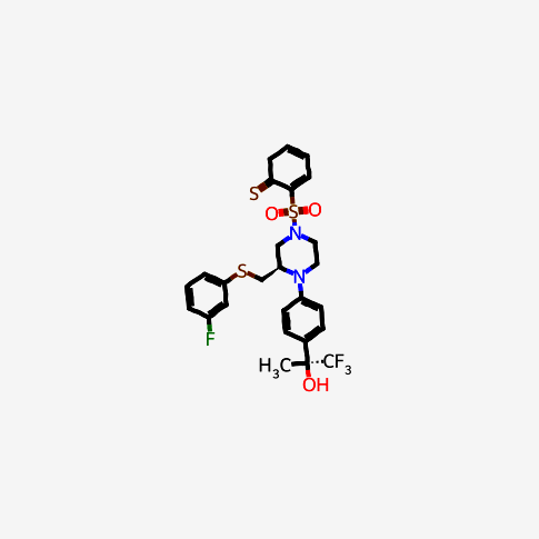 C[C@](O)(c1ccc(N2CCN(S(=O)(=O)C3=CC=CCC3=S)C[C@@H]2CSc2cccc(F)c2)cc1)C(F)(F)F